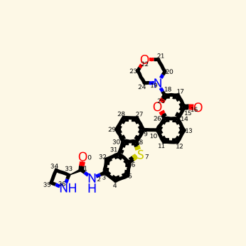 O=C(Nc1ccc2sc3c(-c4cccc5c(=O)cc(N6CCOCC6)oc45)cccc3c2c1)[C@@H]1CCN1